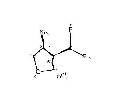 Cl.N[C@@H]1COC[C@@H]1C(F)F